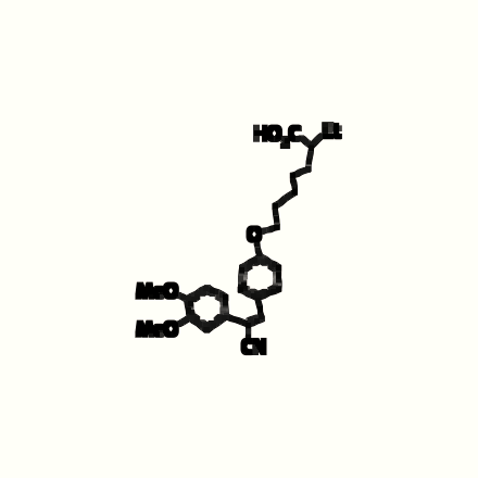 CCC(CCCCCOc1ccc(C=C(C#N)c2ccc(OC)c(OC)c2)cc1)C(=O)O